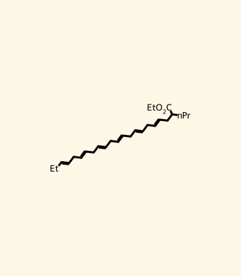 CCC=CCC=CCC=CCC=CCC=CCC=CCC(CCC)C(=O)OCC